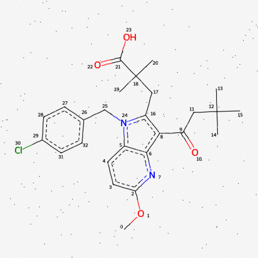 COc1ccc2c(n1)c(C(=O)CC(C)(C)C)c(CC(C)(C)C(=O)O)n2Cc1ccc(Cl)cc1